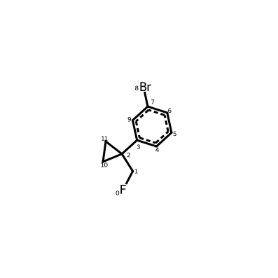 FCC1(c2cccc(Br)c2)CC1